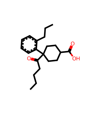 CCCCC(=O)C1(c2ccccc2CCC)CCC(C(=O)O)CC1